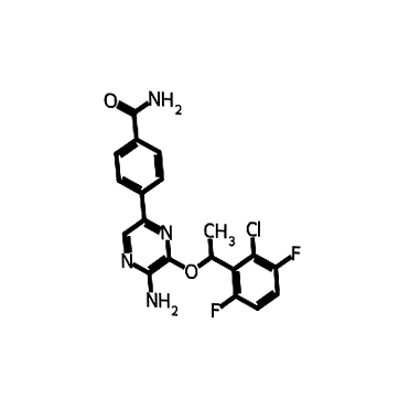 CC(Oc1nc(-c2ccc(C(N)=O)cc2)cnc1N)c1c(F)ccc(F)c1Cl